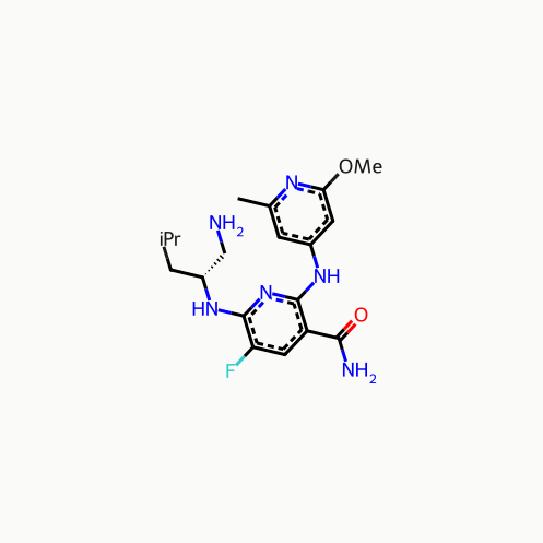 COc1cc(Nc2nc(N[C@@H](CN)CC(C)C)c(F)cc2C(N)=O)cc(C)n1